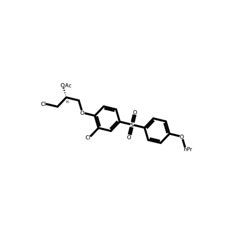 [CH2][CH]COc1ccc(S(=O)(=O)c2ccc(OC[C@H](CCl)OC(C)=O)c(Cl)c2)cc1